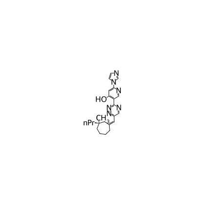 CCC[C@]1(C)CCCC/C(=C/c2cnc(-c3cnc(-n4ccnc4)cc3O)nn2)C1